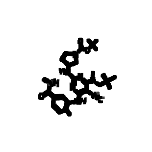 [C-]#[N+]c1c(Nc2cc(C(=O)NC)ccc2C)nc(NC2CCN(C(=O)OC(C)(C)C)C2)nc1N(C)CC(C)(C)C